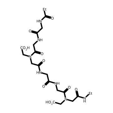 CCNC(=O)CN(CC(=O)O)C(=O)CNC(=O)CNC(=O)CN(CC(=O)O)C(=O)CNC(=O)CNC(=O)CC